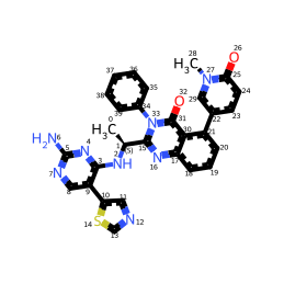 C[C@H](Nc1nc(N)ncc1-c1cncs1)c1nc2cccc(-c3ccc(=O)n(C)c3)c2c(=O)n1-c1ccccc1